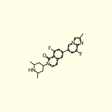 Cc1cn2cc(-c3cc(F)c4c(=O)n(C5CC(C)NC(C)C5)ccc4c3)cc(F)c2n1